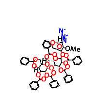 COC1[C@@H](O[C@@H]2O[C@@H](COC(=O)c3ccccc3)[C@@H](O[C@H]3O[C@H]4COC(c5ccccc5)O[C@H]4C(OC(=O)c4ccccc4)C3OC(=O)c3ccccc3)C(OC(=O)c3ccccc3)C2OC(=O)c2ccccc2)C2CO[C@H](O2)[C@H]1N=[N+]=[N-]